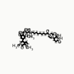 COc1cc(-c2cn(C)c(=O)c3c2ccn3C)cc(OC)c1CN(C)CC(=O)NCCCCCCCCC(=O)N1CCN(C2CCC(=O)NC2O)C(=O)C1